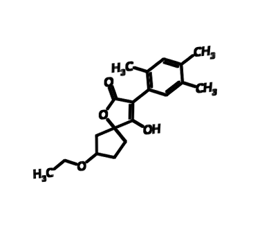 CCOC1CCC2(C1)OC(=O)C(c1cc(C)c(C)cc1C)=C2O